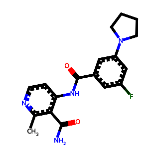 Cc1nccc(NC(=O)c2cc(F)cc(N3CCCC3)c2)c1C(N)=O